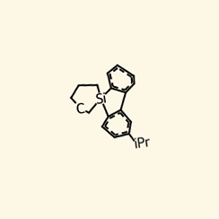 CC(C)c1ccc2c(c1)-c1ccccc1[Si]21CCCCC1